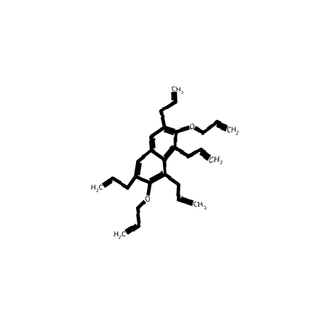 C=CCOc1c(CC=C)cc2cc(CC=C)c(OCC=C)c(CC=C)c2c1CC=C